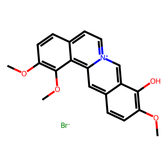 COc1ccc2cc3c4c(OC)c(OC)ccc4cc[n+]3cc2c1O.[Br-]